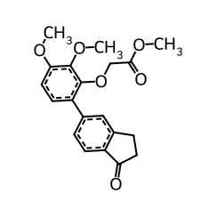 COC(=O)COc1c(-c2ccc3c(c2)CCC3=O)ccc(OC)c1OC